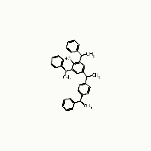 CC(c1ccccc1)c1ccc(C(C)c2cc(C(C)c3ccccc3)c(O)c(C(C)c3ccccc3)c2)cc1